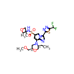 CC[C@H]1CO[C@@H](COC)CN1c1cc(S(=O)(=O)NC2(C)COC2)cn2c(-c3nnc(C(F)F)s3)cnc12